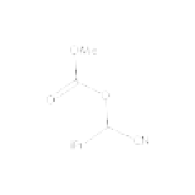 COC(=O)OC(C#N)C(C)C